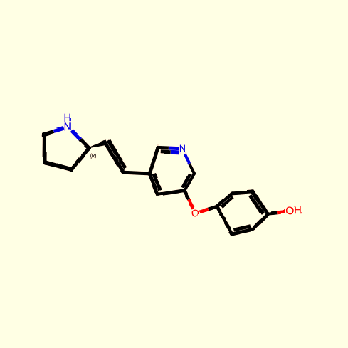 Oc1ccc(Oc2cncc(C=C[C@H]3CCCN3)c2)cc1